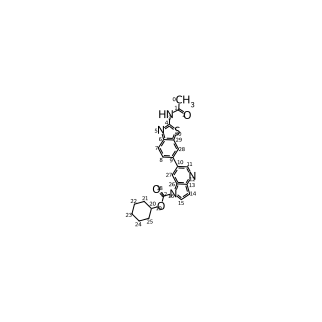 CC(=O)Nc1nc2ccc(-c3cnc4ccn(C(=O)OC5CCCCC5)c4c3)cc2s1